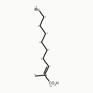 CCC(C)CCCCCCC=C(C)C(=O)O